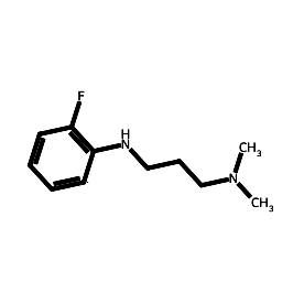 CN(C)CCCNc1[c]cccc1F